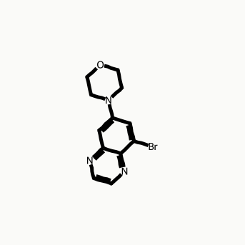 Brc1cc(N2CCOCC2)cc2nccnc12